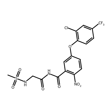 CS(=O)(=O)NCC(=O)NC(=O)c1cc(Oc2ccc(C(F)(F)F)cc2Cl)ccc1[N+](=O)[O-]